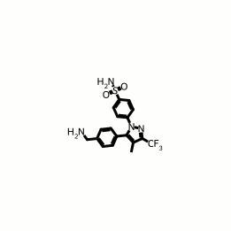 Cc1c(C(F)(F)F)nn(-c2ccc(S(N)(=O)=O)cc2)c1-c1ccc(CN)cc1